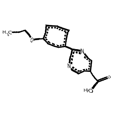 CCOc1cccc(-c2ncc(C(=O)O)cn2)c1